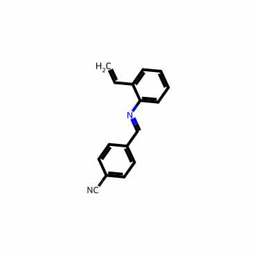 C=Cc1ccccc1/N=C/c1ccc(C#N)cc1